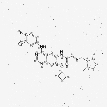 CC1CCC(C)N1CC=CC(=O)Nc1cc2c(Nc3ccc(F)c(Cl)c3)ncnc2cc1OC1CCC1